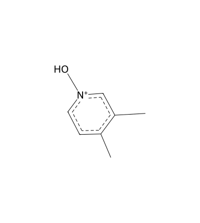 Cc1cc[n+](O)cc1C